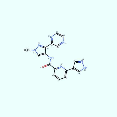 Cn1cc(NC(=O)c2cccc(-c3cn[nH]c3)n2)c(-c2cnccn2)n1